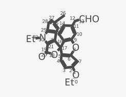 CCOc1ccc2c(c1)Oc1cc(CC=O)ccc1C21OC(=O)c2c1c1cc(C)ccc1n2CC